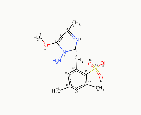 COC1=CC(C)=NCN1N.Cc1cc(C)c(S(=O)(=O)O)c(C)c1